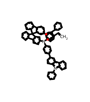 C=Cc1cccc(-c2ccc3c(c2)C2(c4ccccc4-3)c3ccccc3-c3ccc(N(c4ccc(-c5ccccc5)cc4)c4ccc(-c5ccc6c(c5)c5ccccc5n6-c5ccccc5)cc4)cc32)c1